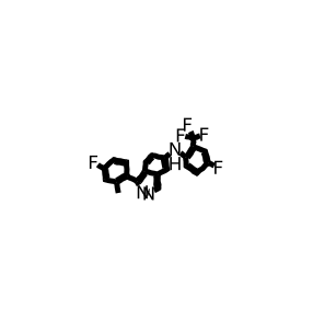 Cc1cc(F)ccc1-c1nncc2cc(Nc3ccc(F)cc3C(F)(F)F)ccc12